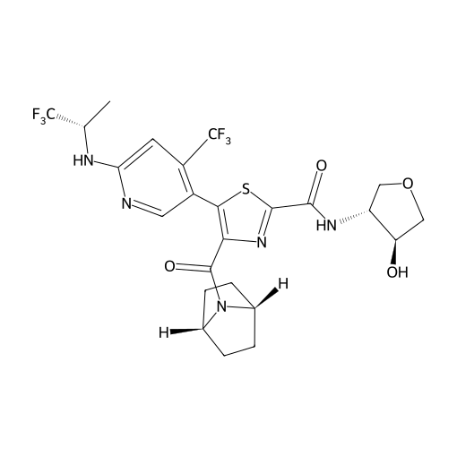 C[C@H](Nc1cc(C(F)(F)F)c(-c2sc(C(=O)N[C@@H]3COC[C@H]3O)nc2C(=O)N2[C@H]3CC[C@@H]2CC3)cn1)C(F)(F)F